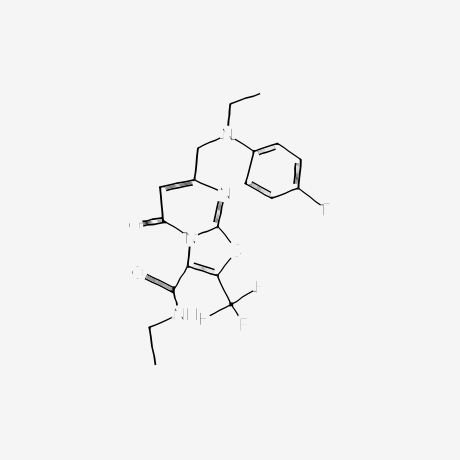 CCNC(=O)c1c(C(F)(F)F)sc2nc(CN(CC)c3ccc(F)cc3)cc(=O)n12